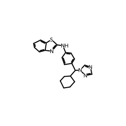 c1ccc2sc(Nc3ccc(C(C4CCCCC4)n4cncn4)cc3)nc2c1